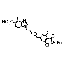 Cc1c(C(=O)O)ccc2c1nnn2CCCOCc1cc(Cl)c(C(=O)OC(C)(C)C)c(Cl)c1